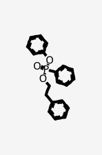 O=P(OCCc1ccccc1)(Oc1ccccc1)c1ccccc1